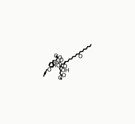 CC#CCOc1ccc(C[C@H](NC(=O)[C@@H](/C=C/CCCCCCC(=O)CCCCCCC)[C@@](O)(CCCC(=O)OC)C(=O)O)C(=O)OC)cc1